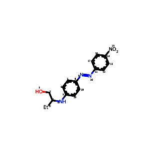 CCC(CO)Nc1ccc(N=Nc2ccc([N+](=O)[O-])cc2)cc1